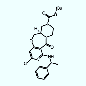 C[C@H](Nc1nc(Cl)cc2c1C(=O)N1CCN(C(=O)OC(C)(C)C)C[C@@H]1CO2)c1ccccc1